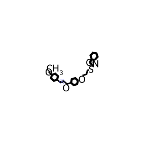 COc1ccc(/C=C/C(=O)c2ccc(OCCCSc3nc4ccccc4o3)cc2)cc1